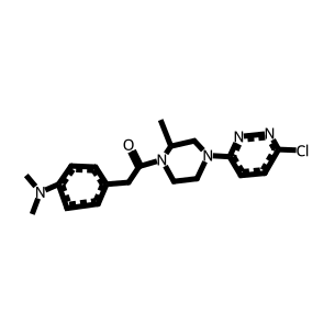 CC1CN(c2ccc(Cl)nn2)CCN1C(=O)Cc1ccc(N(C)C)cc1